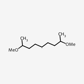 COC(C)CC[CH]CCC(C)OC